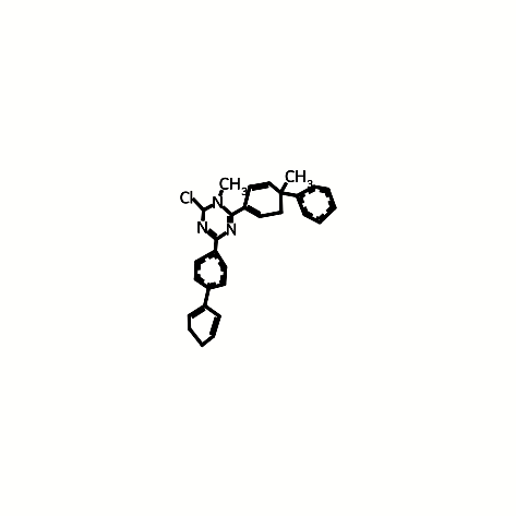 CN1C(C2=CCC(C)(c3ccccc3)C=C2)=NC(c2ccc(C3=CCCC=C3)cc2)=NC1Cl